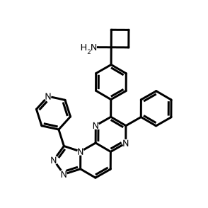 NC1(c2ccc(-c3nc4c(ccc5nnc(-c6ccncc6)n54)nc3-c3ccccc3)cc2)CCC1